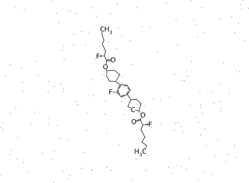 CCCCC[C@H](F)C(=O)OC1CCC(c2ccc(C3CCC(OC(=O)[C@@H](F)CCCCC)CC3)c(F)c2)CC1